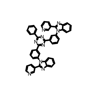 c1ccc(-c2nc(-c3cccc(-n4c(-c5cccnc5)nc5ccccc54)c3)nc(-c3cccc(-n4c(-c5cccnc5)nc5ccccc54)c3)n2)cc1